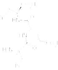 CC(C)C[C@H](NC(=O)[C@H](CCC(=O)O)NC(=O)[C@@H](N)CS)C(=O)O